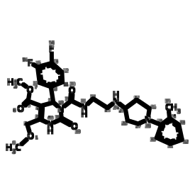 COCC1=C(C(=O)OC)C(c2ccc(F)c(F)c2)N(C(=O)NCCNC2CCN(c3ccccc3C)CC2)C(=O)N1